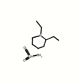 CCC1CCCCN1CC.N[SH](=O)=O